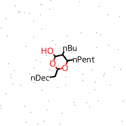 CCCCCCCCCCCC1OC(O)C(CCCC)C(CCCCC)O1